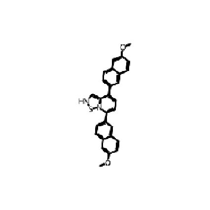 COc1ccc2cc(C3=CC=C(c4ccc5cc(OC)ccc5c4)N4SNC=C34)ccc2c1